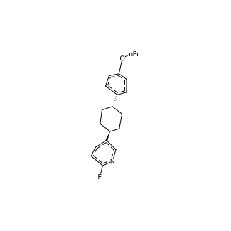 CCCOc1ccc([C@H]2CC[C@H](c3ccc(F)nc3)CC2)cc1